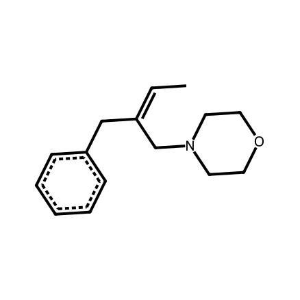 C/C=C(/Cc1ccccc1)CN1CCOCC1